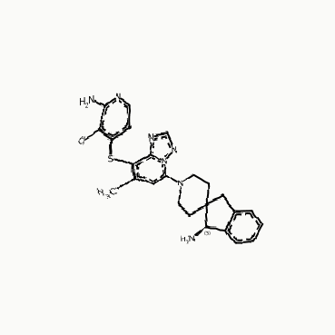 Cc1cc(N2CCC3(CC2)Cc2ccccc2[C@H]3N)n2ncnc2c1Sc1ccnc(N)c1Cl